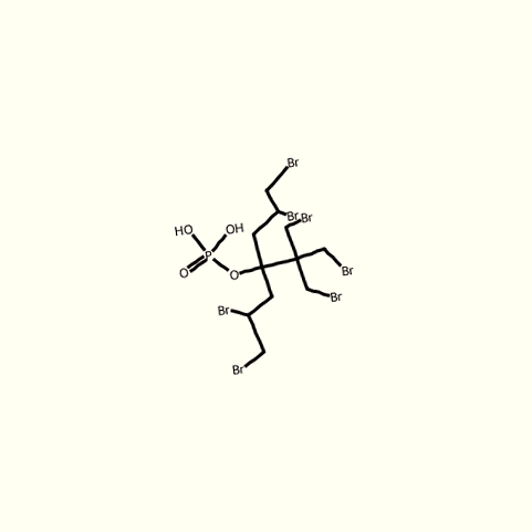 O=P(O)(O)OC(CC(Br)CBr)(CC(Br)CBr)C(CBr)(CBr)CBr